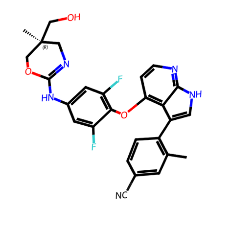 Cc1cc(C#N)ccc1-c1c[nH]c2nccc(Oc3c(F)cc(NC4=NC[C@](C)(CO)CO4)cc3F)c12